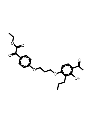 CCCc1c(OCCCOc2ccc(C(=O)C(=O)OCC)cc2)ccc(C(C)=O)c1O